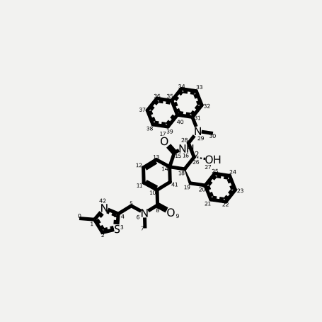 Cc1csc(CN(C)C(=O)C2=CC=CC(C(N)=O)([C@H](Cc3ccccc3)[C@@H](O)CN(C)c3cccc4ccccc34)C2)n1